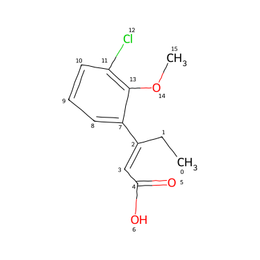 CC/C(=C\C(=O)O)c1cccc(Cl)c1OC